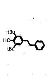 CC(C)(C)c1cc(C[CH]c2ccccc2)cc(C(C)(C)C)c1O